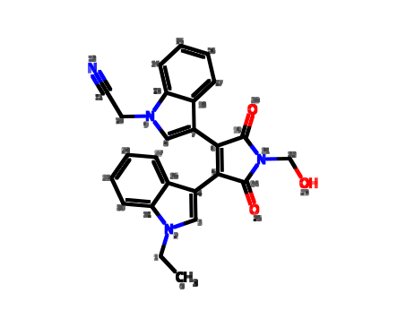 CCn1cc(C2=C(c3cn(CC#N)c4ccccc34)C(=O)N(CO)C2=O)c2ccccc21